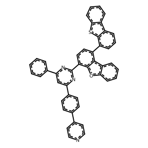 c1ccc(-c2cc(-c3ccc(-c4ccncc4)cc3)nc(-c3ccc(-c4cccc5c4sc4ccccc45)c4c3oc3ccccc34)n2)cc1